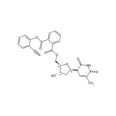 Cc1cn([C@H]2C[C@H](O)[C@@H](COC(=O)c3ccccc3C(=O)Oc3ccccc3C#N)O2)c(=O)[nH]c1=O